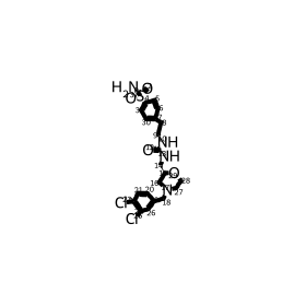 NS(=O)(=O)c1ccc(CCNC(=O)NC[C@H]2CN(Cc3ccc(Cl)c(Cl)c3)CCO2)cc1